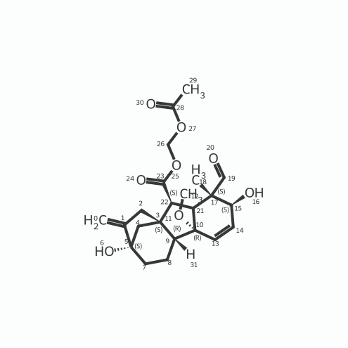 C=C1C[C@]23C[C@@]1(O)CC[C@H]2[C@]1(OC)C=C[C@H](O)[C@@](C)(C=O)C1[C@@H]3C(=O)OCOC(C)=O